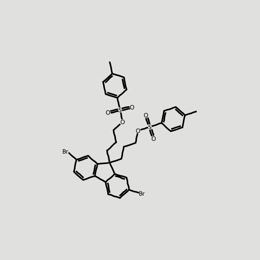 Cc1ccc(S(=O)(=O)OCCCC2(CCCOS(=O)(=O)c3ccc(C)cc3)c3cc(Br)ccc3-c3ccc(Br)cc32)cc1